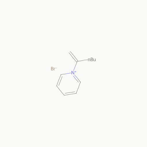 C=C(CCCC)[n+]1ccccc1.[Br-]